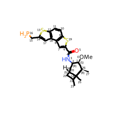 CO[C@@H]1[C@H](NC(=O)c2cc3c(ccc4sc(CP)cc43)s2)[C@H]2CC3(C)C2(C)[C@]13C